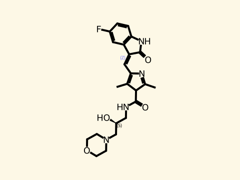 CC1=NC(/C=C2\C(=O)Nc3ccc(F)cc32)=C(C)C1C(=O)NC[C@H](O)CN1CCOCC1